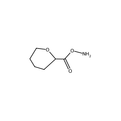 NOC(=O)C1CCCCO1